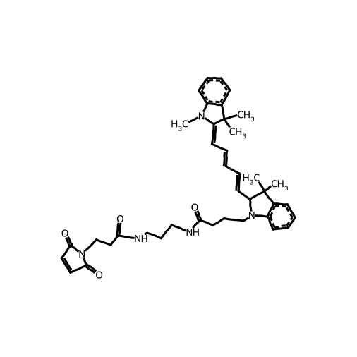 CN1/C(=C/C=C/C=C/C2N(CCCC(=O)NCCCNC(=O)CCN3C(=O)C=CC3=O)c3ccccc3C2(C)C)C(C)(C)c2ccccc21